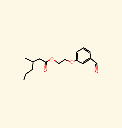 CCCC(C)CC(=O)OCCOc1cccc(C=O)c1